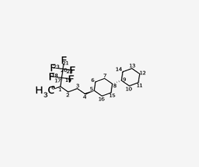 CC(CCC[C@H]1CC[C@H](C2CCCCC2)CC1)C(F)(F)C(F)(F)F